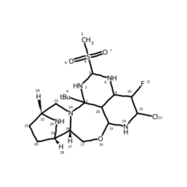 CC(C)(C)C12NC(S(C)(=O)=O)NC3C(F)C(Cl)NC(OC[C@@H]4[C@@H]5CC[C@H](CN41)N5)C32